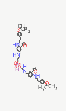 CC(C)Oc1ccc(CCCNc2ccc(CNCCCO[PH](=O)OCCCNCc3ccc(NCCCc4ccc(OC(C)C)cc4)c(-c4ccco4)c3)cc2-c2ccco2)cc1